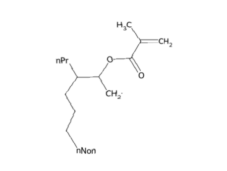 [CH2]C(OC(=O)C(=C)C)C(CCC)CCCCCCCCCCCC